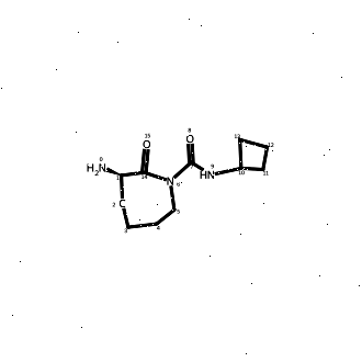 N[C@@H]1CCCCN(C(=O)NC2CCC2)C1=O